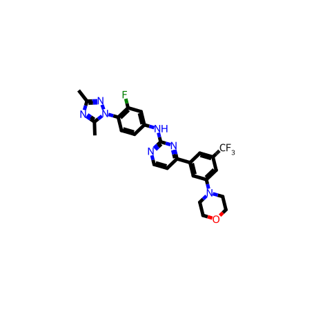 Cc1nc(C)n(-c2ccc(Nc3nccc(-c4cc(N5CCOCC5)cc(C(F)(F)F)c4)n3)cc2F)n1